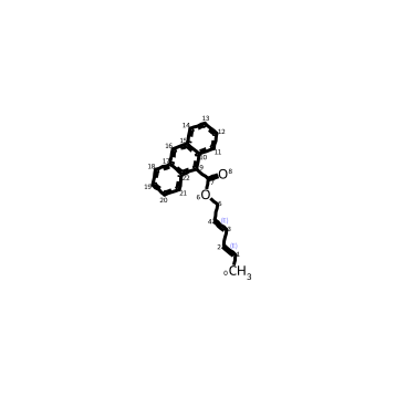 C/C=C/C=C/COC(=O)c1c2ccccc2cc2ccccc12